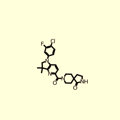 CC1(C)CN(c2ccc(Cl)c(F)c2)c2ccc(C(=O)N3CCC4(CCNC4=O)CC3)nc21